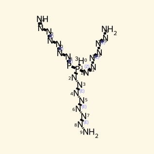 [3H]P(=N/N=N/N=N/N=N/N)(\N=N/N=N/N=N/N)/P=N/N=N/N=N/N=N